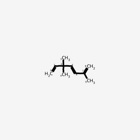 C=CC(C)(C)/C=C/C(=C)C